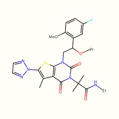 CCNC(=O)C(C)(C)n1c(=O)c2c(C)c(-n3nccn3)sc2n(CC(OC(C)C)c2cc(F)ccc2OC)c1=O